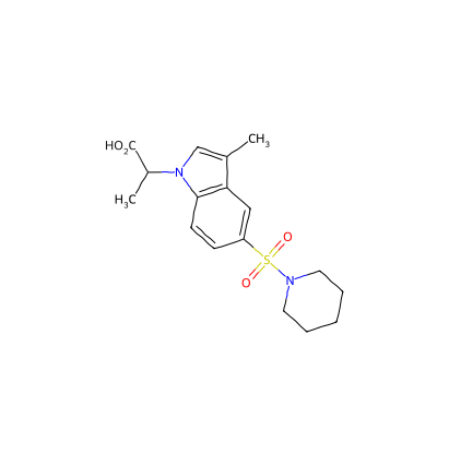 Cc1cn(C(C)C(=O)O)c2ccc(S(=O)(=O)N3CCCCC3)cc12